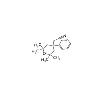 CC1(C)CC(CC#N)(c2ccccc2)CC(C)(C)O1